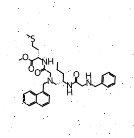 CC[C@H](C)[C@@H](CN(CC(=O)N[C@@H](CCSC)C(=O)OC)Cc1cccc2ccccc12)NC(=O)CNCc1ccccc1